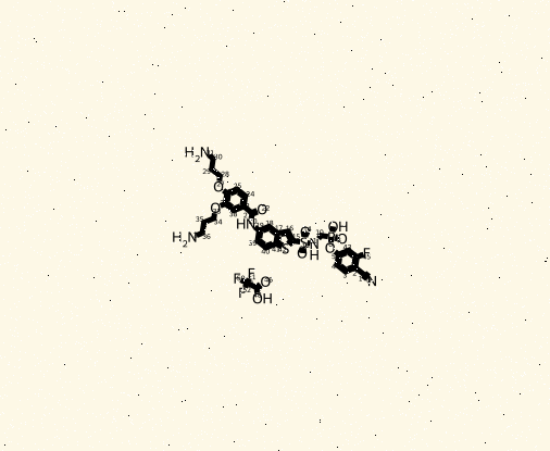 N#Cc1ccc(OP(=O)(O)CNS(=O)(=O)c2cc3cc(NC(=O)c4ccc(OCCCN)c(OCCCN)c4)ccc3s2)cc1F.O=C(O)C(F)(F)F